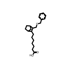 O=C(O)CCCCCCC1C2CCC(C2)C1COCc1ccccc1